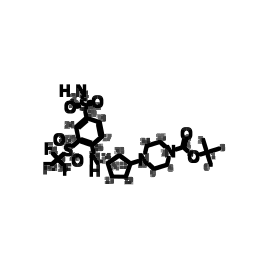 CC(C)(C)OC(=O)N1CCN(C2CC[C@H](Nc3ccc(S(N)(=O)=O)cc3S(=O)(=O)C(F)(F)F)C2)CC1